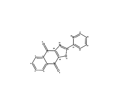 O=C1c2ccccc2C(=O)c2oc(-c3ccccn3)nc21